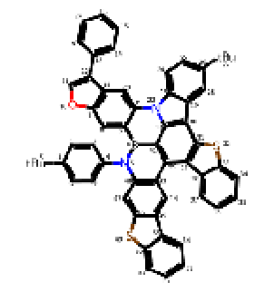 CC(C)(C)c1ccc(N2B3c4cc5occ(-c6ccccc6)c5cc4-n4c5ccc(C(C)(C)C)cc5c5c6sc7ccccc7c6c(c3c54)-c3cc4c(cc32)sc2ccccc24)cc1